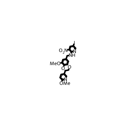 COc1ccc(C2COc3cc(CNc4ncc(I)cc4[N+](=O)[O-])cc(OC)c3O2)cn1